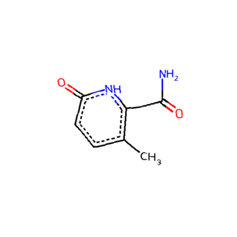 Cc1ccc(=O)[nH]c1C(N)=O